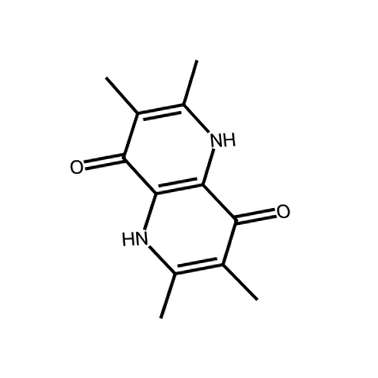 Cc1[nH]c2c(=O)c(C)c(C)[nH]c2c(=O)c1C